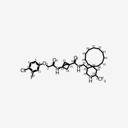 O=C(COc1ccc(Cl)c(F)c1)NC12CC(C(=O)NCC3CNC(C(F)(F)F)CC34CCCCCCCCCC4)(C1)C2